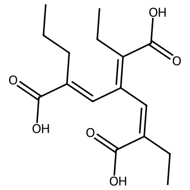 CCCC(=CC(C=C(CC)C(=O)O)=C(CC)C(=O)O)C(=O)O